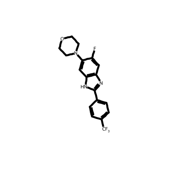 Fc1cc2nc(-c3ccc(C(F)(F)F)cc3)[nH]c2cc1N1CCOCC1